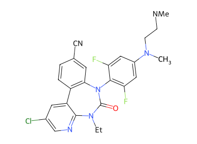 CCN1C(=O)N(c2c(F)cc(N(C)CCNC)cc2F)c2cc(C#N)ccc2-c2cc(Cl)cnc21